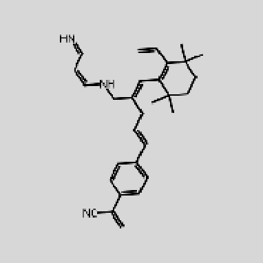 C=CC1=C(/C=C(\C/C=C/c2ccc(C(=C)C#N)cc2)CN/C=C\C=N)C(C)(C)CCC1(C)C